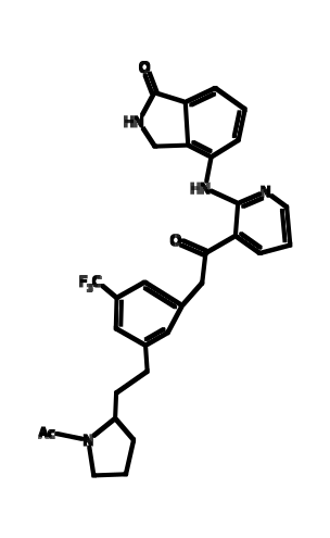 CC(=O)N1CCCC1CCc1cc(CC(=O)c2cccnc2Nc2cccc3c2CNC3=O)cc(C(F)(F)F)c1